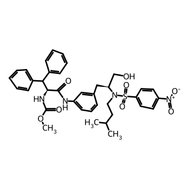 COC(=O)N[C@H](C(=O)Nc1cccc(C[C@@H](CO)N(CCC(C)C)S(=O)(=O)c2ccc([N+](=O)[O-])cc2)c1)C(c1ccccc1)c1ccccc1